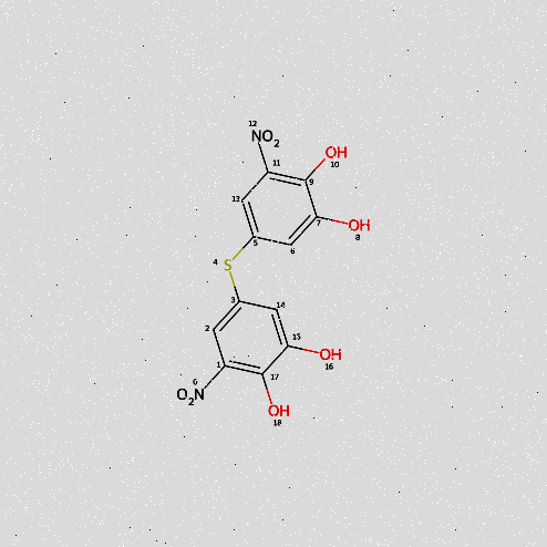 O=[N+]([O-])c1cc(Sc2cc(O)c(O)c([N+](=O)[O-])c2)cc(O)c1O